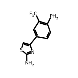 Nc1nc(-c2ccc(P)c(C(F)(F)F)c2)cs1